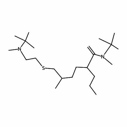 C=C(C(CCC)CCC(C)CSCCN(C)C(C)(C)C)N(C)C(C)(C)C